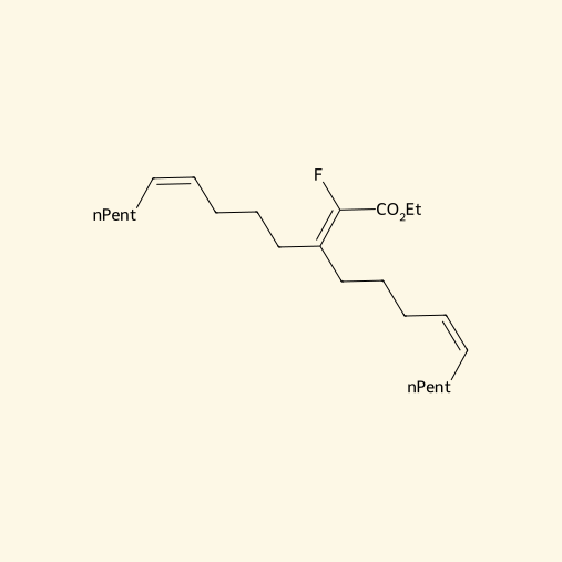 CCCCC/C=C\CCCC(CCC/C=C\CCCCC)=C(F)C(=O)OCC